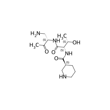 CC(=O)[C@H](CN)NC(=O)[C@@H](NC(=O)[C@H]1CCCNC1)[C@H](C)O